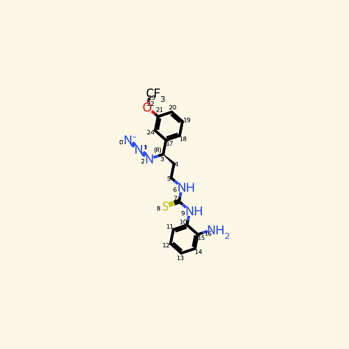 [N-]=[N+]=N[C@H](CCNC(=S)Nc1ccccc1N)c1cccc(OC(F)(F)F)c1